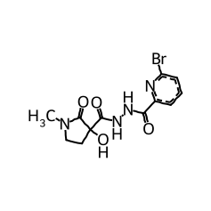 CN1CCC(O)(C(=O)NNC(=O)c2cccc(Br)n2)C1=O